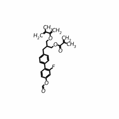 C=C(C)C(=C)OCC(COC(=O)C(=C)C)Cc1ccc(-c2ccc(OC=O)cc2F)cc1